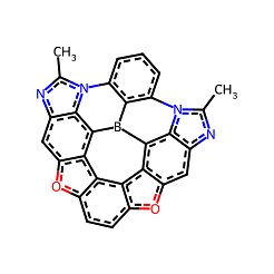 Cc1nc2cc3oc4ccc5oc6cc7nc(C)n8c7c7c6c5c4c3c3c2n1-c1cccc-8c1B37